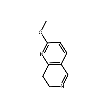 COc1ccc2c(n1)CCN=C2